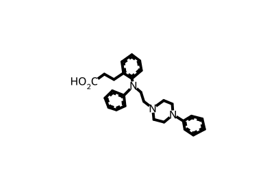 O=C(O)CCc1ccccc1N(CCN1CCN(c2ccccc2)CC1)c1ccccc1